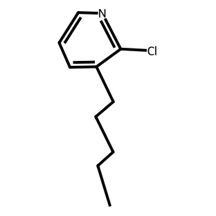 CCCCCc1cccnc1Cl